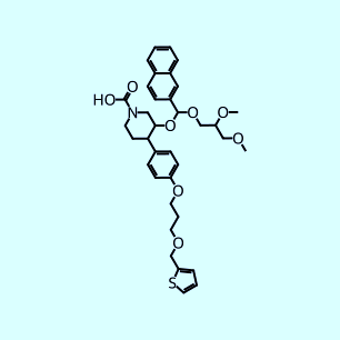 COCC(COC(OC1CN(C(=O)O)CCC1c1ccc(OCCCOCc2cccs2)cc1)c1ccc2ccccc2c1)OC